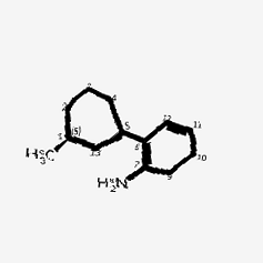 C[C@H]1CCCC(C2=C(N)CCC=C2)C1